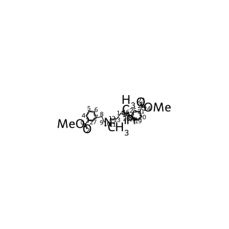 COC(=O)c1cccc(CCN(C)CCCC(C)(c2cccc(C(=O)OC)c2)C(C)C)c1